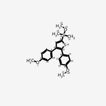 COc1ccc(-c2cc([Si](C)(C)OC)sc2-c2ccc(OC)cc2)cc1